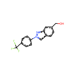 OCc1ccc2cn(-c3ccc(C(F)(F)F)cc3)nc2c1